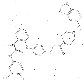 CCN(C(=O)Nc1ccc(Cl)c(Cl)c1)c1cnccc1Oc1ccc(CCC(=O)N2CCN(Cc3ccc4c(c3)OCO4)CC2)cc1